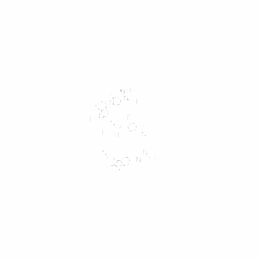 CNc1ccn(-c2ccnc3c2cc([C@H](C)N2CC=C(c4c(C)cc(C(=O)N5CCC(CN6CCN(Cc7ccc8c(c7)n(C7CC7)c(=O)n8C7CCC(=O)NC7=O)C[C@@H]6C)CC5)cc4F)CC2)n3C)c(=O)c1OC